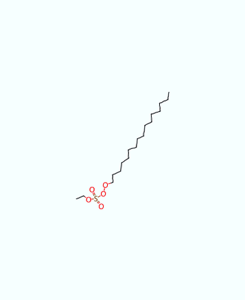 CCCCCCCCCCCCCCCCOOS(=O)(=O)OCC